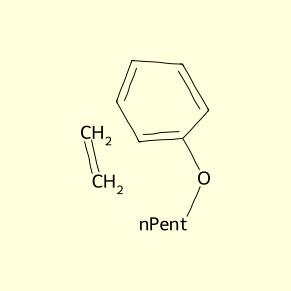 C=C.CCCCCOc1ccccc1